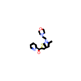 Cc1cc2cc(C(=O)c3ccccn3)sc2n1CCN1CCOCC1